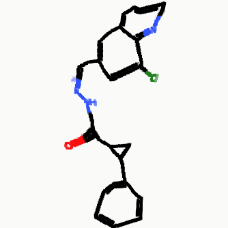 O=C(N/N=C\c1cc(Cl)c2ncccc2c1)C1CC1c1ccccc1